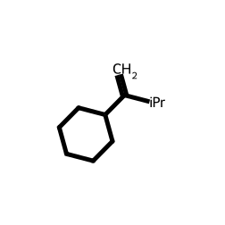 C=C(C(C)C)C1CCCCC1